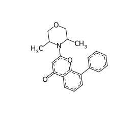 CC1COCC(C)N1c1cc(=O)c2cccc(-c3ccccc3)c2o1